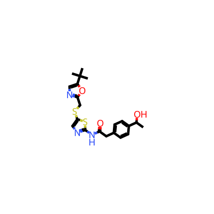 CC(O)c1ccc(CC(=O)Nc2ncc(SCc3ncc(C(C)(C)C)o3)s2)cc1